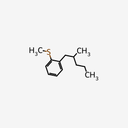 CCCC(C)Cc1ccccc1SC